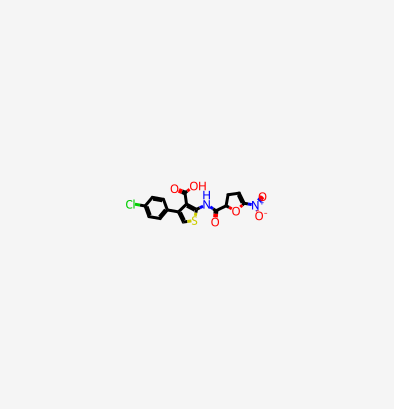 O=C(O)c1c(-c2ccc(Cl)cc2)csc1NC(=O)C1CC=C([N+](=O)[O-])O1